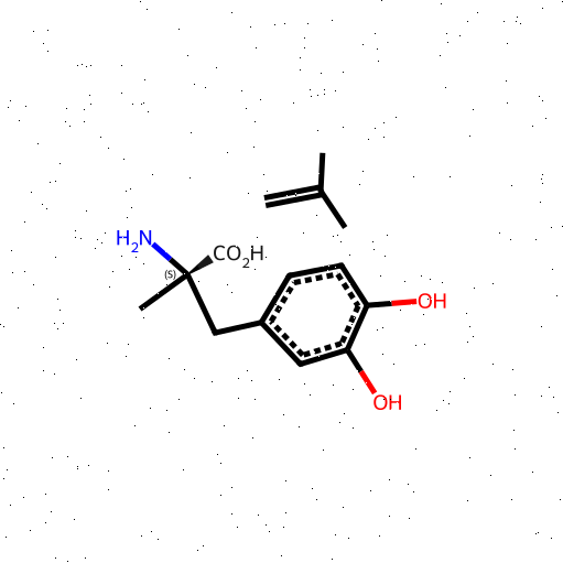 C=C(C)C.C[C@](N)(Cc1ccc(O)c(O)c1)C(=O)O